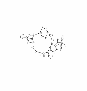 CC1CC(NS(C)(=O)=O)C2COC3CCC(CC3)c3cc(C(F)(F)F)cc(n3)OCCOC(=O)N12